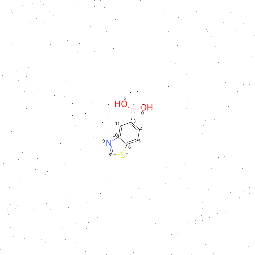 OB(O)c1ccc2scnc2c1